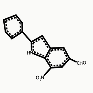 O=Cc1cc([N+](=O)[O-])c2[nH]c(-c3ccccc3)cc2c1